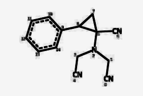 N#CCN(CC#N)C1(C#N)CC1c1ccccc1